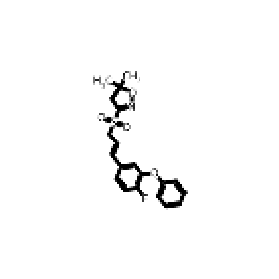 CC1(C)CC(S(=O)(=O)CC=Cc2ccc(F)c(Oc3ccccc3)c2)=NO1